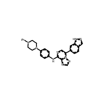 CC(C)N1CCN(c2ccc(Nc3ncc(-c4ccc5cn[nH]c5c4)n4ncnc34)cc2)CC1